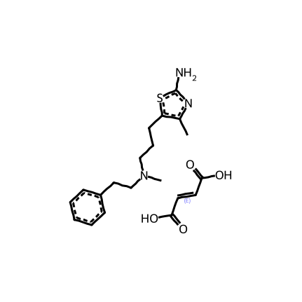 Cc1nc(N)sc1CCCN(C)CCc1ccccc1.O=C(O)/C=C/C(=O)O